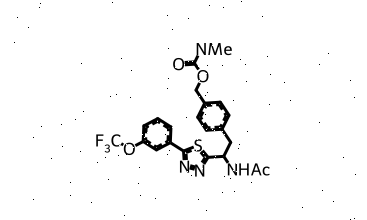 CNC(=O)OCc1ccc(CC(NC(C)=O)c2nnc(-c3cccc(OC(F)(F)F)c3)s2)cc1